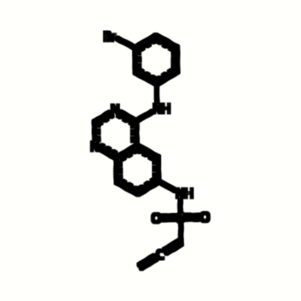 C=C=CS(=O)(=O)Nc1ccc2ncnc(Nc3cccc(Br)c3)c2c1